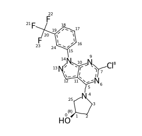 O[C@@H]1CCN(c2nc(Cl)nc3c2cnn3-c2cccc(C(F)(F)F)c2)C1